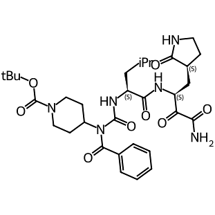 CC(C)C[C@H](NC(=O)N(C(=O)c1ccccc1)C1CCN(C(=O)OC(C)(C)C)CC1)C(=O)N[C@@H](C[C@@H]1CCNC1=O)C(=O)C(N)=O